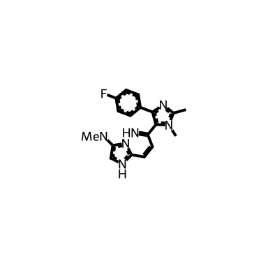 CNc1c[nH]c(/C=C\C(=N)c2c(-c3ccc(F)cc3)nc(C)n2C)n1